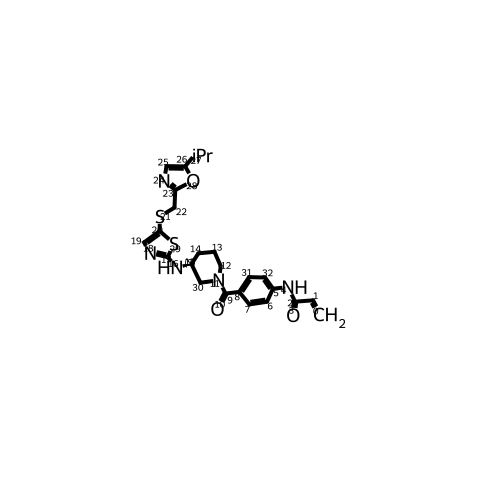 C=CC(=O)Nc1ccc(C(=O)N2CCC[C@H](Nc3ncc(SCc4ncc(C(C)C)o4)s3)C2)cc1